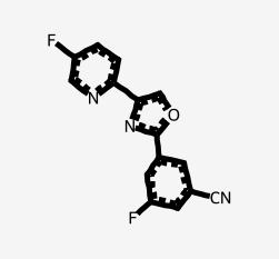 N#Cc1cc(F)cc(-c2nc(-c3ccc(F)cn3)co2)c1